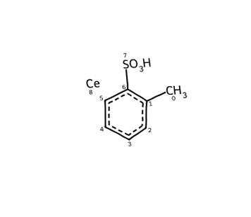 Cc1ccccc1S(=O)(=O)O.[Ce]